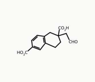 O=CCC1(C(=O)O)CCc2cc(C(=O)O)ccc2C1